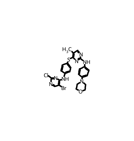 Cc1cnc(Nc2ccc(N3CCOCC3)cc2)nc1Sc1ccc(Nc2nc(Cl)ncc2Br)cc1